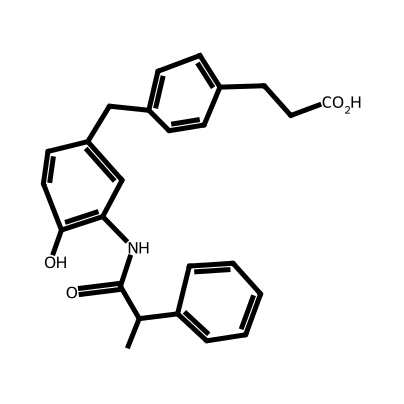 CC(C(=O)Nc1cc(Cc2ccc(CCC(=O)O)cc2)ccc1O)c1ccccc1